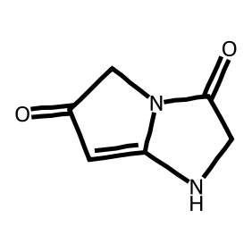 O=C1C=C2NCC(=O)N2C1